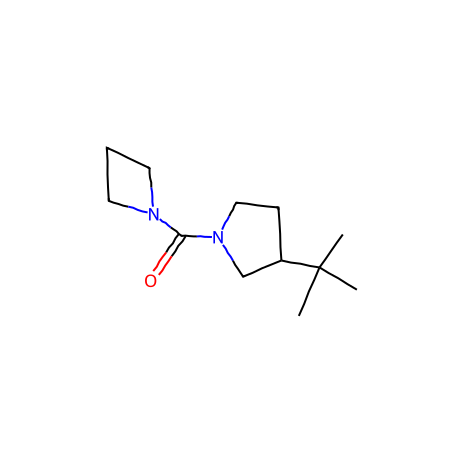 CC(C)(C)C1CCN(C(=O)N2CCC2)C1